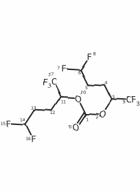 O=C(OC(CCC(F)F)C(F)(F)F)OC(CCC(F)F)C(F)(F)F